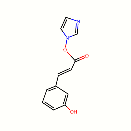 O=C(/C=C/c1cccc(O)c1)On1ccnc1